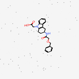 O=C(O)Cn1c2c(c3ccccc31)C[C@@H](NC(=O)COCc1ccccc1)CC2